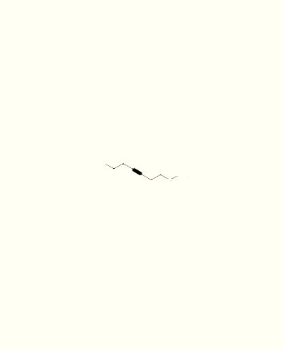 CNCCC#CCCN